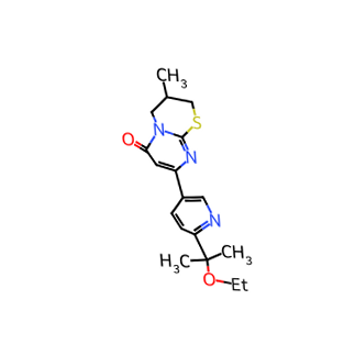 CCOC(C)(C)c1ccc(-c2cc(=O)n3c(n2)SCC(C)C3)cn1